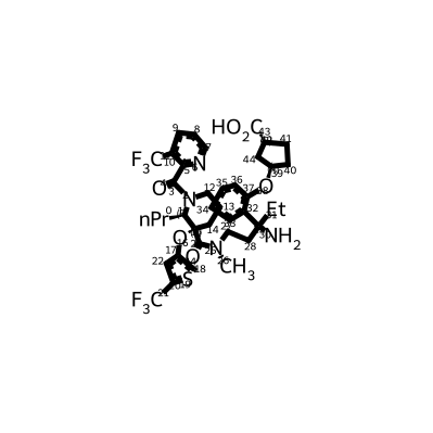 CCC[C@H]1N(C(=O)c2ncccc2C(F)(F)F)CCC[C@@]1(Oc1csc(C(F)(F)F)c1)C(=O)N(C)CCC(N)(CC)c1ccccc1O[C@@H]1CC[C@@H](C(=O)O)C1